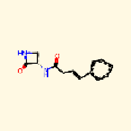 O=C(CC=Cc1ccccc1)N[C@H]1CNC1=O